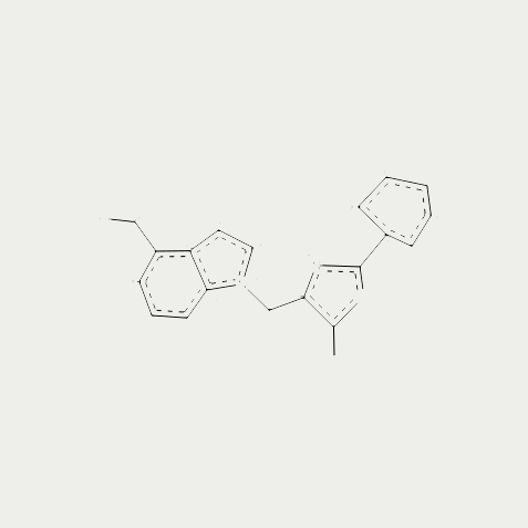 Cc1oc(-c2ccccc2)nc1Cn1ccc2c(CO)cccc21